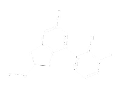 Fc1cc2c(c(-c3cccc(Cl)c3Cl)c1)OC(CBr)C2